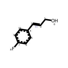 OC/C=C/c1ccc(F)cc1